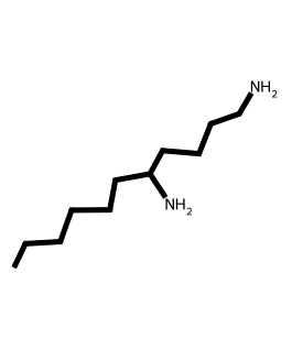 CCCCCCC(N)CCCCN